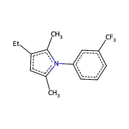 CCc1cc(C)n(-c2cccc(C(F)(F)F)c2)c1C